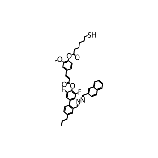 CCCc1ccc(-c2cc(F)c(OC(=O)/C=C/c3ccc(OC(=O)CCCCCS)c(OC)c3)c(F)c2)c(/C=N/N=C/c2ccc3ccccc3c2)c1